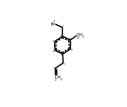 C=CCc1ccc(CBr)c(C)c1